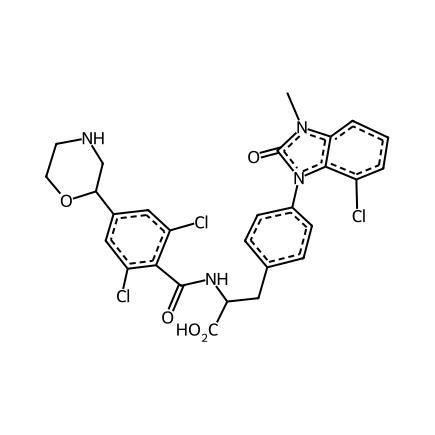 Cn1c(=O)n(-c2ccc(CC(NC(=O)c3c(Cl)cc(C4CNCCO4)cc3Cl)C(=O)O)cc2)c2c(Cl)cccc21